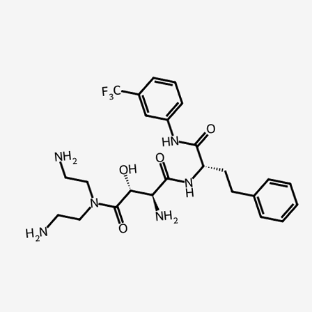 NCCN(CCN)C(=O)[C@H](O)[C@H](N)C(=O)N[C@@H](CCc1ccccc1)C(=O)Nc1cccc(C(F)(F)F)c1